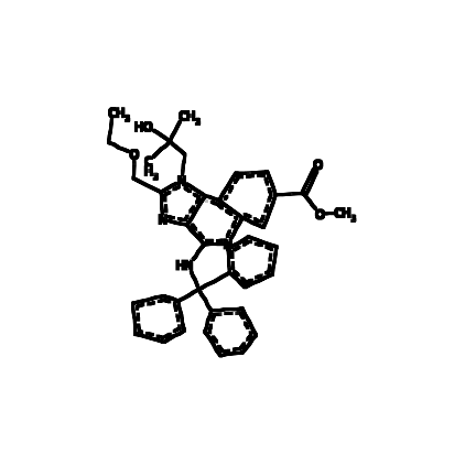 CCOCc1nc2c(NC(c3ccccc3)(c3ccccc3)c3ccccc3)nc3cc(C(=O)OC)ccc3c2n1CC(C)(C)O